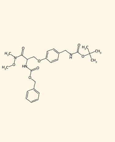 CON(C)C(=O)C(COc1ccc(CNC(=O)OC(C)(C)C)cc1)NC(=O)OCc1ccccc1